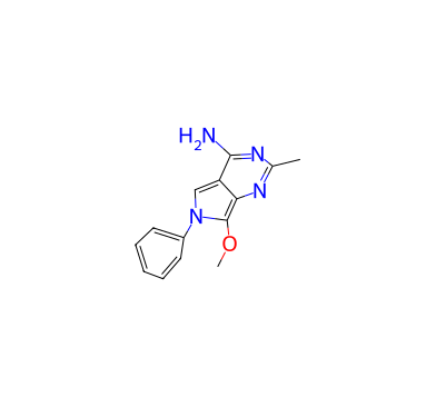 COc1c2nc(C)nc(N)c2cn1-c1ccccc1